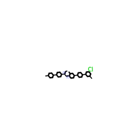 C=c1cc(-c2ccc(-c3cc(C)cc(Cl)c3)cc2)cc/c1=C/C(=C\C)c1ccc(-c2ccc(C)cc2)cc1